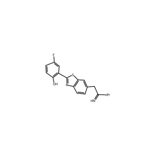 CCCC(=N)Cc1ccc2nc(-c3cc(F)ccc3O)sc2c1